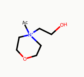 CC(=O)[N+]1(CCO)CCOCC1